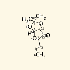 CCC[C@H]1O[C@@H]2OC(C)(C)OC2C1=O